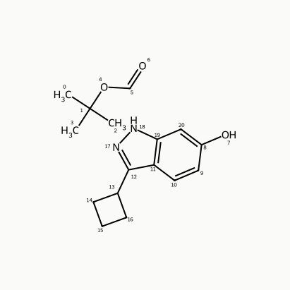 CC(C)(C)OC=O.Oc1ccc2c(C3CCC3)n[nH]c2c1